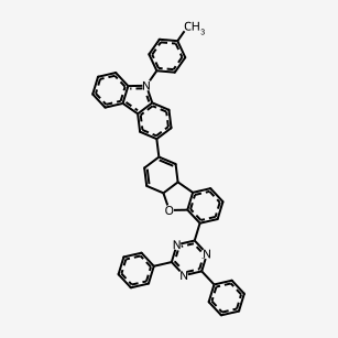 Cc1ccc(-n2c3ccccc3c3cc(C4=CC5c6cccc(-c7nc(-c8ccccc8)nc(-c8ccccc8)n7)c6OC5C=C4)ccc32)cc1